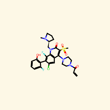 C=CC(=O)N1CCN(c2c(S(C)(=O)=O)c(=O)n(C[C@@H]3CCCN3C)c3c(F)c(-c4c(O)cccc4F)c(Cl)cc23)CC1